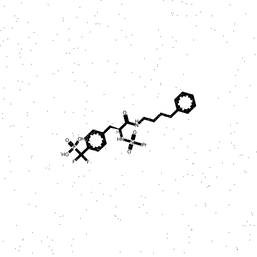 CC(C)S(=O)(=O)N[C@@H](Cc1ccc(C(F)(F)P(=O)(O)O)cc1)C(=O)NCCCCc1ccccc1